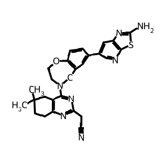 CC1(C)CCc2nc(CC#N)nc(N3CCOc4ccc(-c5cnc6sc(N)nc6c5)cc4C3)c2C1